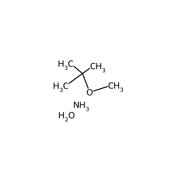 COC(C)(C)C.N.O